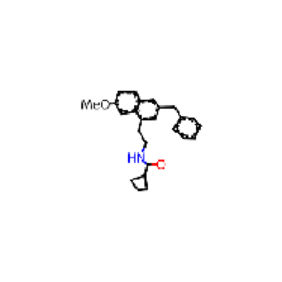 COc1ccc2cc(Cc3ccccc3)cc(CCNC(=O)C3CCC3)c2c1